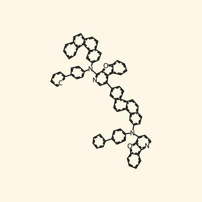 c1ccc(-c2ccc(N(c3ccc4ccc5c6ccc(-c7cnc(N(c8ccc(-c9ccccc9)cc8)c8ccc9ccc%10ccc%11ccccc%11c%10c9c8)c8oc9ccccc9c78)cc6ccc5c4c3)c3ccnc4c3oc3ccccc34)cc2)cc1